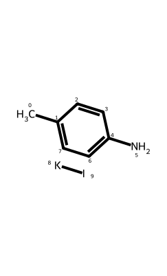 Cc1ccc(N)cc1.[K][I]